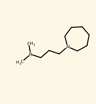 CN(C)CC[CH2][Al]1[CH2]CCCC[CH2]1